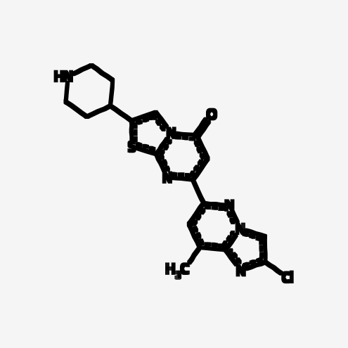 Cc1cc(-c2cc(=O)n3cc(C4CCNCC4)sc3n2)nn2cc(Cl)nc12